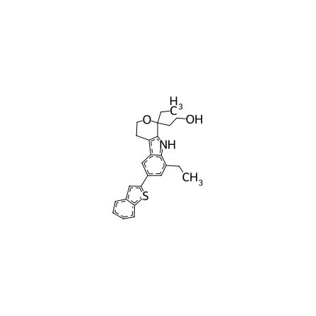 CCc1cc(-c2cc3ccccc3s2)cc2c3c([nH]c12)C(CC)(CCO)OCC3